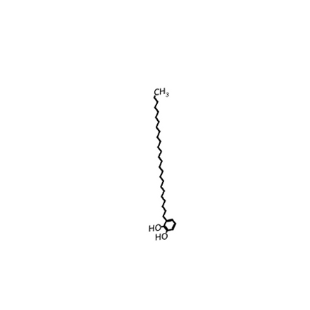 CCCCCCCCCCCCCCCCCCCCCCCCCCc1cccc(O)c1O